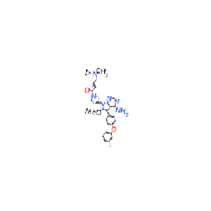 COc1c(-c2ccc(Oc3cccc(F)c3)cc2)c2c(N)ncnc2n1[C@@H]1CCN(C(=O)/C=C/CN(C)C2CC2)C1